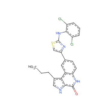 O=C(O)CCc1c[nH]c2c(=O)[nH]c3ccc(-c4csc(Nc5c(Cl)cccc5Cl)n4)cc3c12